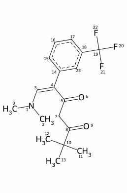 CN(C)C=C(C(=O)CC(=O)C(C)(C)C)c1cccc(C(F)(F)F)c1